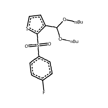 CCCCOC(OCCCC)c1ccsc1S(=O)(=O)c1ccc(F)cc1